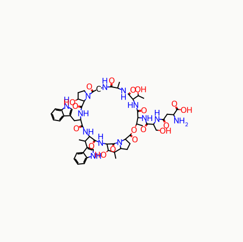 CC1NC(=O)C(C(C)O)NC(=O)C(NC(=O)C(CO)NC(=O)CC(N)C(=O)O)C(C)OC(=O)C2CCC3C(C)C(O)C(NC(=O)C(C(C)c4c[nH]c5ccccc45)NC(=O)C(Cc4c[nH]c5ccccc45)NC(=O)C4C(O)CCN4C(=O)CNC1=O)C(=O)N23